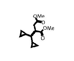 COC(=O)CC(C(=O)OC)=C(C1CC1)C1CC1